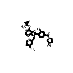 Cc1ccnc(Cn2c(-c3ccc(C(=O)N4CC[C@@H](C#N)C4)cc3Cl)nc3c(OC4(C)CC4)ncnc32)c1